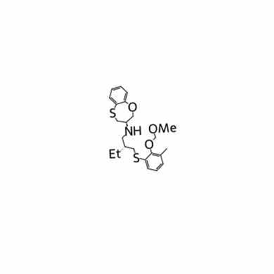 CC[C@H](CN[C@@H]1COc2ccccc2SC1)CSc1cccc(C)c1OCOC